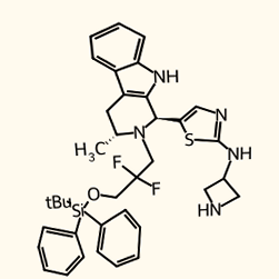 C[C@@H]1Cc2c([nH]c3ccccc23)[C@@H](c2cnc(NC3CNC3)s2)N1CC(F)(F)CO[Si](c1ccccc1)(c1ccccc1)C(C)(C)C